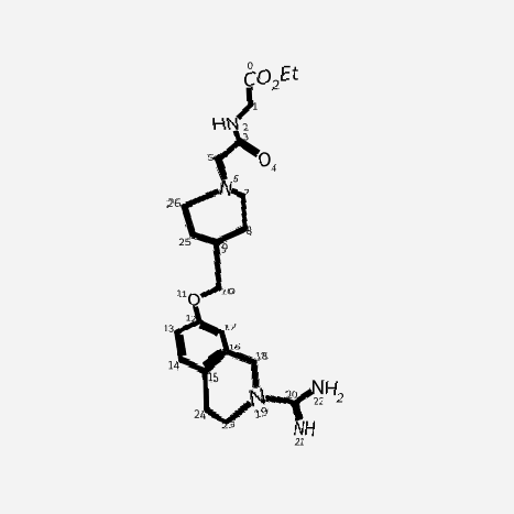 CCOC(=O)CNC(=O)CN1CCC(COc2ccc3c(c2)CN(C(=N)N)CC3)CC1